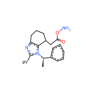 CC(C)c1nc2c(n1[C@H](C)c1ccccc1)C(CC(=O)ON)CCC2